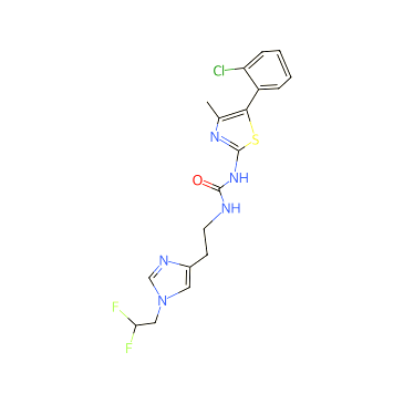 Cc1nc(NC(=O)NCCc2cn(CC(F)F)cn2)sc1-c1ccccc1Cl